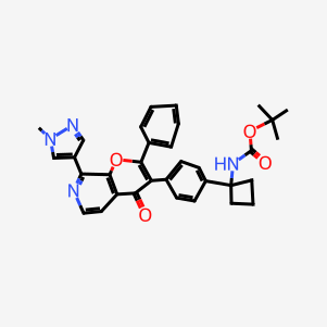 Cn1cc(-c2nccc3c(=O)c(-c4ccc(C5(NC(=O)OC(C)(C)C)CCC5)cc4)c(-c4ccccc4)oc23)cn1